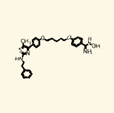 Cc1sc(NCCc2ccccc2)nc1-c1ccc(OCCCCCOc2ccc(C(=N)NO)cc2)cc1